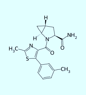 Cc1cccc(-c2sc(C)nc2C(=O)N2[C@H](C(N)=O)C[C@H]3C[C@@H]32)c1